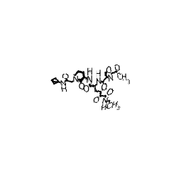 CCNC(=O)C(=O)CC[C@H](NC(=O)c1coc(C(C)=O)n1)C(=O)Nc1cccn(CC(=O)NC23CC(C2)C3)c1=O